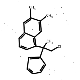 Cc1cc2cccc(C(C)(CCl)c3ccccc3)c2cc1C